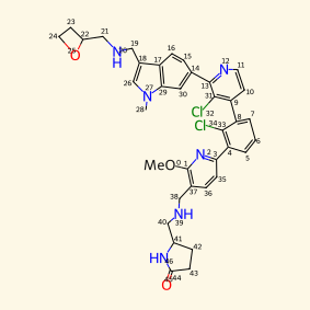 COc1nc(-c2cccc(-c3ccnc(-c4ccc5c(CNCC6CCO6)cn(C)c5c4)c3Cl)c2Cl)ccc1CNCC1CCC(=O)N1